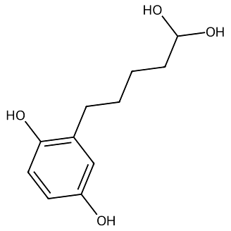 Oc1ccc(O)c(CCCCC(O)O)c1